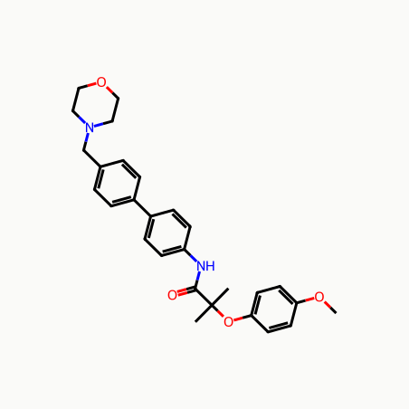 COc1ccc(OC(C)(C)C(=O)Nc2ccc(-c3ccc(CN4CCOCC4)cc3)cc2)cc1